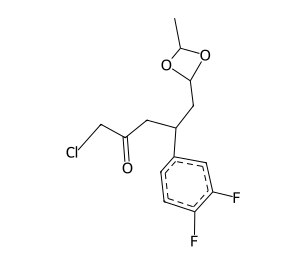 CC1OC(CC(CC(=O)CCl)c2ccc(F)c(F)c2)O1